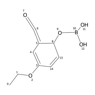 CCOC1=CC(=C=O)C(OB(O)O)C=C1